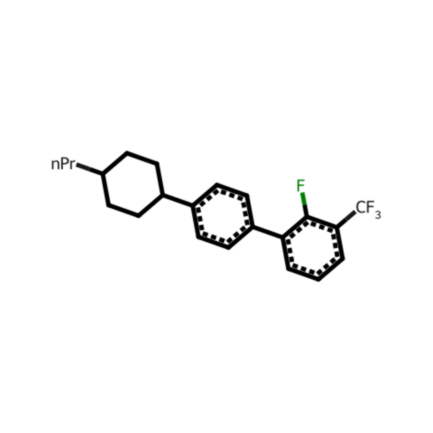 CCCC1CCC(c2ccc(-c3cccc(C(F)(F)F)c3F)cc2)CC1